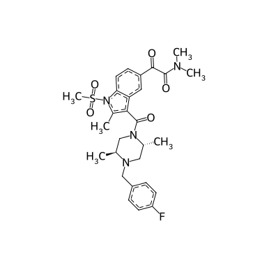 Cc1c(C(=O)N2C[C@H](C)N(Cc3ccc(F)cc3)C[C@H]2C)c2cc(C(=O)C(=O)N(C)C)ccc2n1S(C)(=O)=O